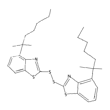 CCCCCC(C)(C)c1cccc2sc(SSc3nc4c(C(C)(C)CCCCC)cccc4s3)nc12